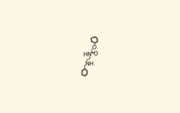 O=C(COc1ccccc1)NCCNCc1ccccc1